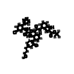 COCCCN1CCN(c2cccc(C(C)C(=O)Nc3cccc4[nH]c(C(=O)OC(C)(C)C)cc34)c2NC(=O)C(=O)Nc2cc(Cl)ccc2-n2cnnn2)C(=O)C1